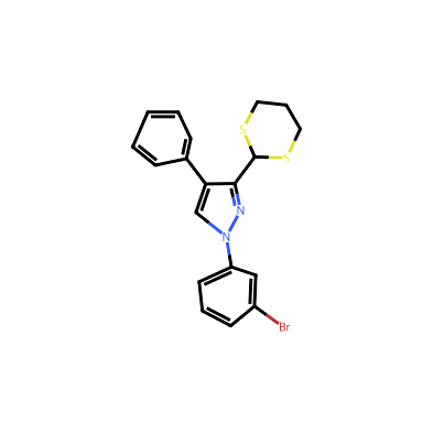 Brc1cccc(-n2cc(-c3ccccc3)c(C3SCCCS3)n2)c1